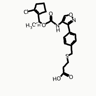 C[C@@H](OC(=O)Nc1conc1-c1ccc(CSCCC(=O)O)cc1)C1=C(Cl)CCC1